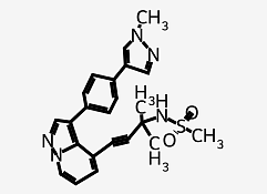 Cn1cc(-c2ccc(-c3cnn4cccc(C#CC(C)(C)NS(C)(=O)=O)c34)cc2)cn1